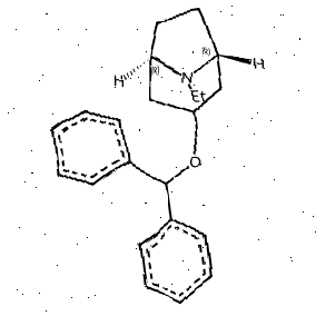 CCN1[C@@H]2CC[C@@H]1CC(OC(c1ccccc1)c1ccccc1)C2